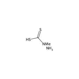 CNC(=S)S.N